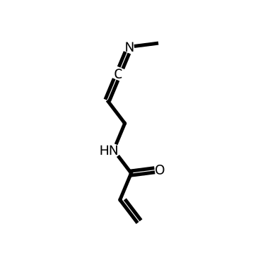 C=CC(=O)NCC=C=NC